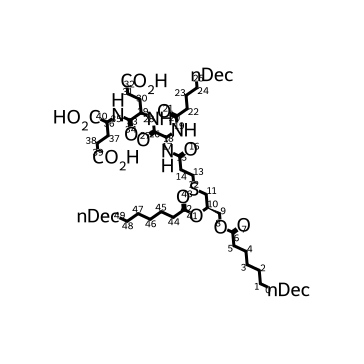 CCCCCCCCCCCCCCCC(=O)OC[C@H](CSCCC(=O)N[C@@H](NC(=O)CCCCCCCCCCCCC)C(=O)NC(CCC(=O)O)C(=O)NC(CCC(=O)O)C(=O)O)OC(=O)CCCCCCCCCCCCCCC